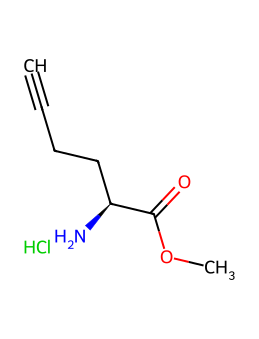 C#CCC[C@H](N)C(=O)OC.Cl